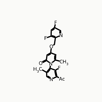 CC(=O)c1ncc(C)c(-n2c(C)cc(OCc3ncc(F)cc3F)cc2=O)c1F